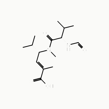 C/C(=C\[C@H](C(C)C)N(C)C(=O)[C@@H](NC=O)C(C)C)C(=O)O